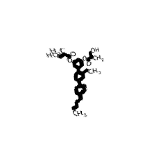 C=C(CO)C(=O)Oc1cc(OC(=O)C(=C)CO)cc(-c2ccc(-c3ccc(CCCCC)cc3)cc2CC)c1